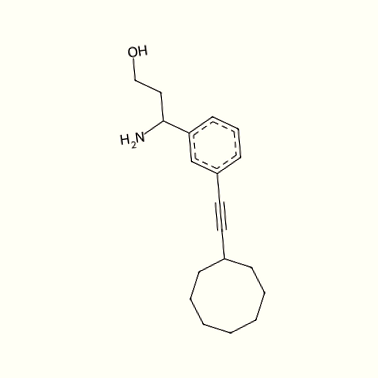 NC(CCO)c1cccc(C#CC2CCCCCCC2)c1